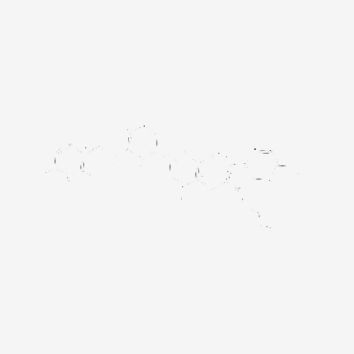 COCCn1c(Cc2c(F)cc(-c3ccnc(OCc4ccc(C)cc4F)n3)cc2F)nc2ccc(C(=O)O)cc21